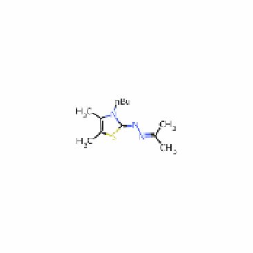 CCCCn1c(C)c(C)s/c1=N\N=C(C)C